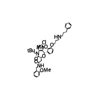 COc1ccccc1CNC(=O)C[C@@H]1O[C@@H](c2cccc(OCCCNCCCc3ccccc3)c2OC)c2cc(Cl)ccc2N(CC(C)(C)C)C1=O